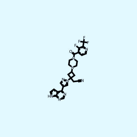 N#CCC1(n2cc(-c3ncnc4[nH]ccc34)cn2)CC(N2CCN(C(=O)c3ccnc(C(F)(F)F)c3F)CC2)C1